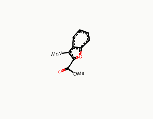 CNc1c(C(=O)OC)oc2ccccc12